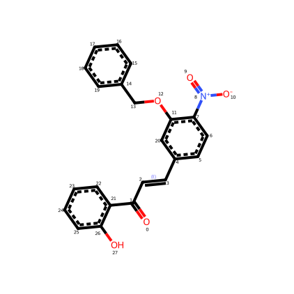 O=C(/C=C/c1ccc([N+](=O)[O-])c(OCc2ccccc2)c1)c1ccccc1O